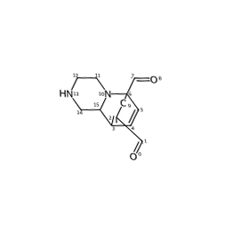 O=[C]C1=C2C=CC([C]=O)(C1)N1CCNCC21